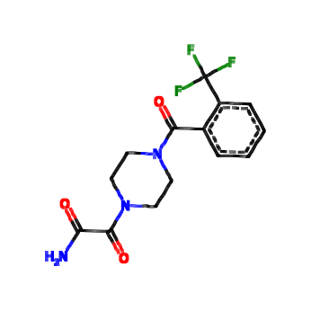 NC(=O)C(=O)N1CCN(C(=O)c2ccccc2C(F)(F)F)CC1